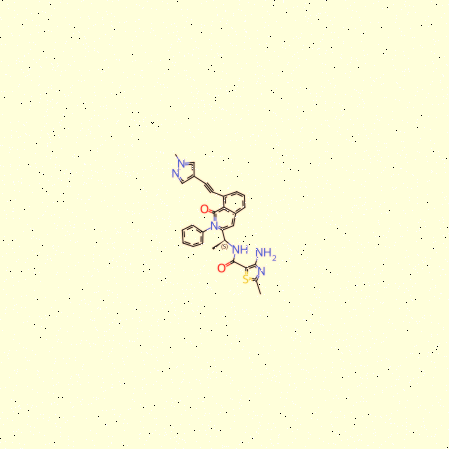 Cc1nc(N)c(C(=O)N[C@@H](C)c2cc3cccc(C#Cc4cnn(C)c4)c3c(=O)n2-c2ccccc2)s1